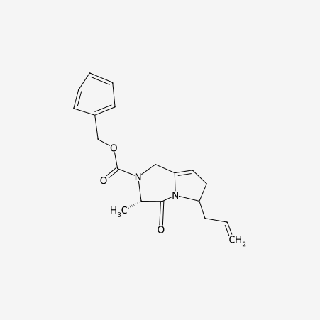 C=CCC1CC=C2CN(C(=O)OCc3ccccc3)[C@@H](C)C(=O)N21